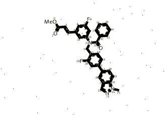 COC(=O)/C=C/c1cc(F)cc(N(Cc2ccc(-c3ccc4c(cnn4C)c3)cc2F)C(=O)c2ccccc2)c1